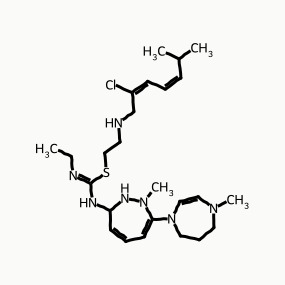 CC/N=C(/NC1C=CC=C(N2C=CN(C)CCC2)N(C)N1)SCCNC/C(Cl)=C\C=C/C(C)C